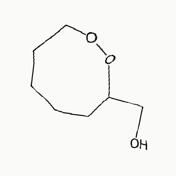 OCC1CCCCCOO1